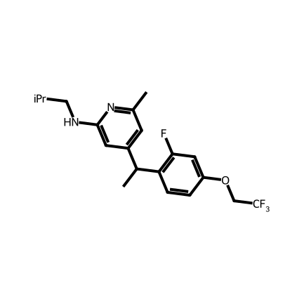 Cc1cc(C(C)c2ccc(OCC(F)(F)F)cc2F)cc(NCC(C)C)n1